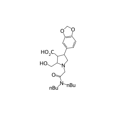 CCCCN(CCCC)C(=O)CN1CC(c2ccc3c(c2)OCO3)C(C(=O)O)C1CO